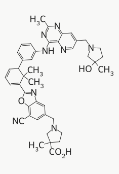 Cc1nc(Nc2cccc(C3C=CC=C(c4nc5cc(CN6CCC(C)(C(=O)O)C6)cc(C#N)c5o4)C3(C)C)c2)c2ncc(CN3CCC(C)(O)C3)cc2n1